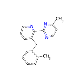 Cc1ccnc(-c2ncccc2Cc2ccccc2C)n1